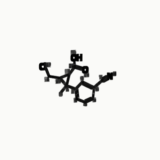 CC1(c2cccc(C#N)c2)C(CCl)C1C(=O)O